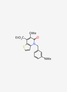 CCOC(=O)c1c(OC)c(=O)n(Cc2cccc(NC)c2)c2ccsc12